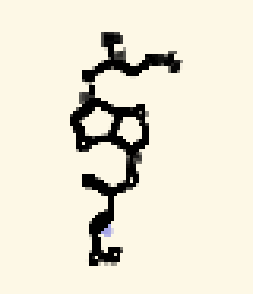 CC[C@H](CN)O[C@H]1COC2C1OC[C@H]2OC(=O)/C=C/C=O